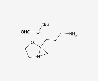 CC(C)(C)OC=O.NCCCC12CN1CCO2